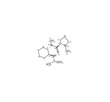 CC(C)N[C@H]1CCCC[C@@H]1N(C)C(=O)[C@H]1CCCN1C